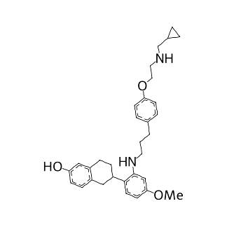 COc1ccc(C2CCc3cc(O)ccc3C2)c(NCCCc2ccc(OCCNCC3CC3)cc2)c1